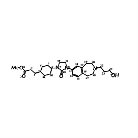 COC(=O)CC[C@H]1CC[C@H](N2CCN(c3ccc4c(c3)CCN(CCCO)CC4)C2=O)CC1